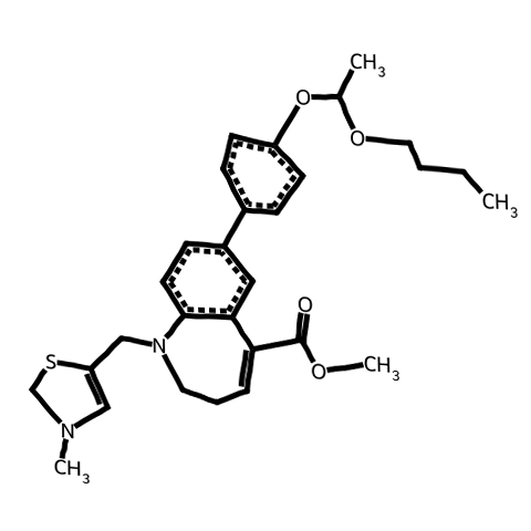 CCCCOC(C)Oc1ccc(-c2ccc3c(c2)C(C(=O)OC)=CCCN3CC2=CN(C)CS2)cc1